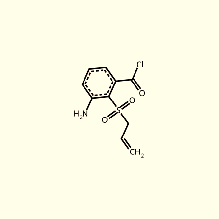 C=CCS(=O)(=O)c1c(N)cccc1C(=O)Cl